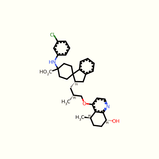 C[C@@H](COc1ccnc2c1[C@H](C)CC[C@H]2O)C[C@H]1Cc2ccccc2C12CCC(Nc1cccc(Cl)c1)(C(=O)O)CC2